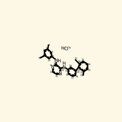 Cc1cc(C)cc(Nc2nccnc2Nc2cccc(-c3c(C)cccc3C)c2)c1.Cl